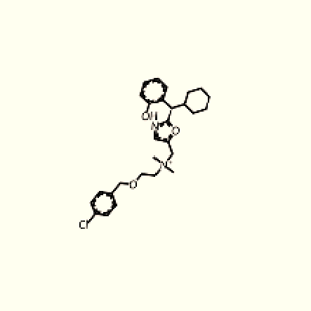 C[N+](C)(CCOCc1ccc(Cl)cc1)Cc1cnc([C@@H](c2ccccc2O)C2CCCCC2)o1